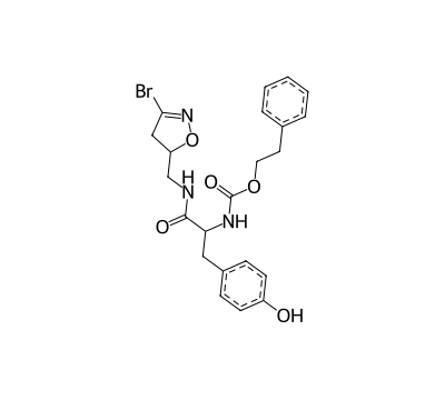 O=C(NC(Cc1ccc(O)cc1)C(=O)NCC1CC(Br)=NO1)OCCc1ccccc1